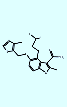 Cc1ncsc1COc1ccc2oc(C)c(C(N)=O)c2c1CCC(F)F